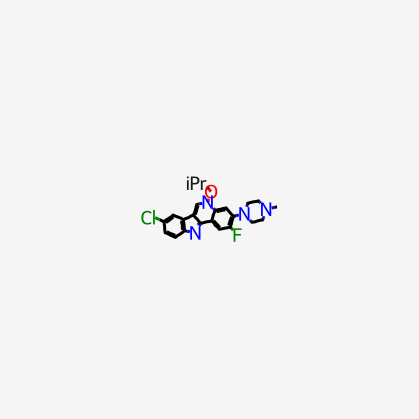 CC(C)On1cc2c3cc(Cl)ccc3nc-2c2cc(F)c(N3CCN(C)CC3)cc21